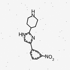 O=[N+]([O-])c1cccc(-c2c[nH]c(C3CCNCC3)n2)c1